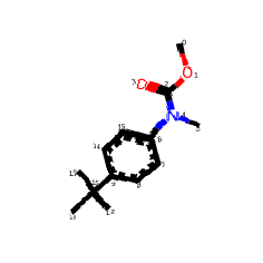 COC(=O)N(C)c1ccc(C(C)(C)C)cc1